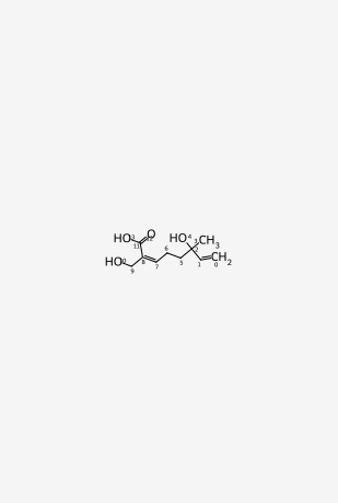 C=CC(C)(O)CCC=C(CO)C(=O)O